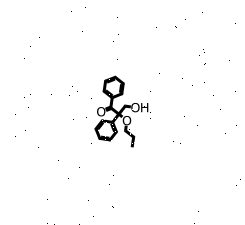 CCCOC(CO)(C(=O)c1ccccc1)c1ccccc1